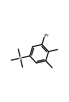 Cc1cc([Si](C)(C)C)cc(C(C)C)c1C